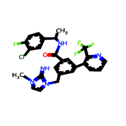 CC(NC(=O)c1cc(Cn2ccn(C)c2=N)cc(-c2cccnc2C(F)(F)F)c1)c1ccc(F)c(Cl)c1